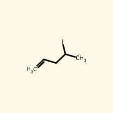 C=CCC(C)I